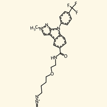 Cn1cc2c3cc(C(=O)NCCOCCCCN=[N+]=[N-])ccc3n(-c3ccc(C(F)(F)F)cc3)c2n1